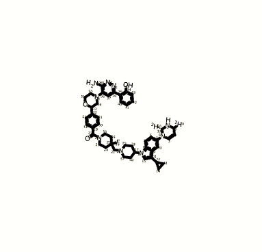 [2H]C1C=CN(c2ccc3c(c2)c(C2CC2)cn3C2CCN(CC3(F)CCN(C(=O)c4ccc(C5CN(c6cc(-c7ccccc7O)nnc6N)CCO5)cc4)CC3)CC2)[C@H]([2H])N1